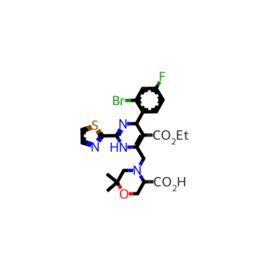 CCOC(=O)C1=C(CN2CC(C)(C)OCC2C(=O)O)NC(c2nccs2)=NC1c1ccc(F)cc1Br